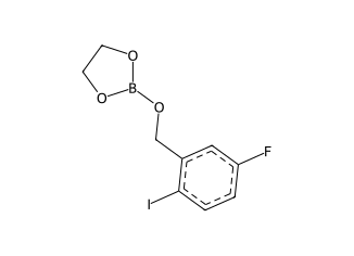 Fc1ccc(I)c(COB2OCCO2)c1